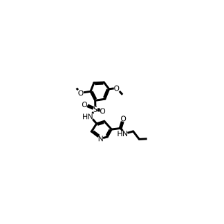 CCCNC(=O)c1cncc(NS(=O)(=O)c2cc(OC)ccc2OC)c1